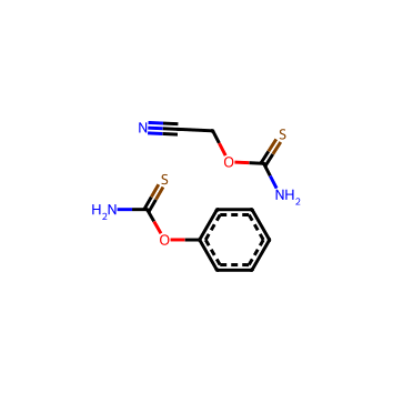 N#CCOC(N)=S.NC(=S)Oc1ccccc1